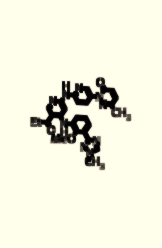 CCC(=O)c1cnc(Nc2ccc(-n3nc(C)ccc3=O)cn2)cc1Nc1cccc(-c2ncn(C)n2)c1OC